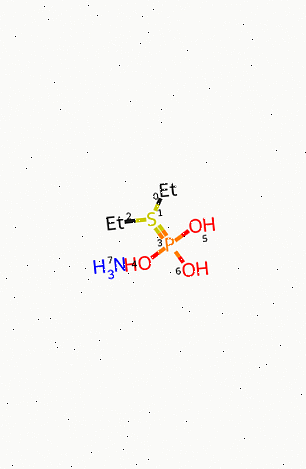 CCS(CC)=P(O)(O)O.N